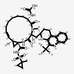 CC1(S(=O)(=O)NC(=O)[C@@]23C[C@H]2C=CCCCCC[C@H](NC(=O)O)C(=O)N2C[C@@]4(CCc5c(c(C(F)(F)F)nc6ccccc56)O4)C[C@H]2C(=O)N3)CC1